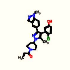 C=CC(=O)N1CCC(n2nc(-c3ccc4c(cnn4C)c3)c(-c3cc(O)ccc3Cl)c2C)CC1